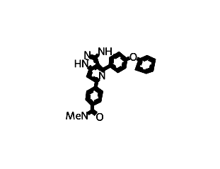 CNC(=O)c1ccc(-c2cc3[nH]nc(N)c3c(-c3ccc(Oc4ccccc4)cc3)n2)cc1